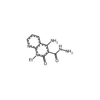 CCn1c(=O)c(C(=O)NN)c(N)c2cccnc21